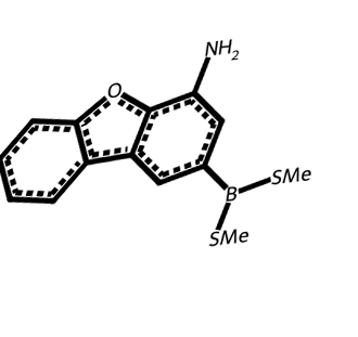 CSB(SC)c1cc(N)c2oc3ccccc3c2c1